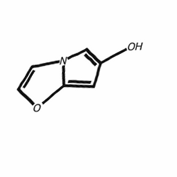 Oc1cc2occn2c1